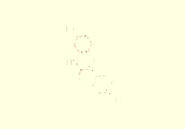 CC(C)N1CCC(N2Cc3ccc(O)cc3NC2=O)CC1